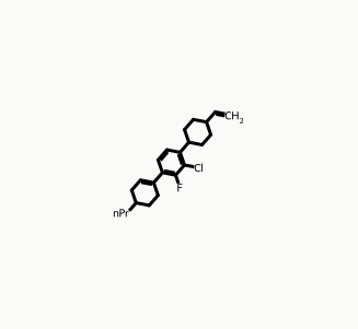 C=CC1CCC(c2ccc(C3=CCC(CCC)CC3)c(F)c2Cl)CC1